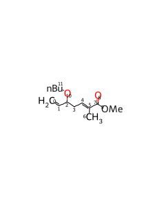 C=CC(C/C=C(\C)C(=O)OC)OCCCC